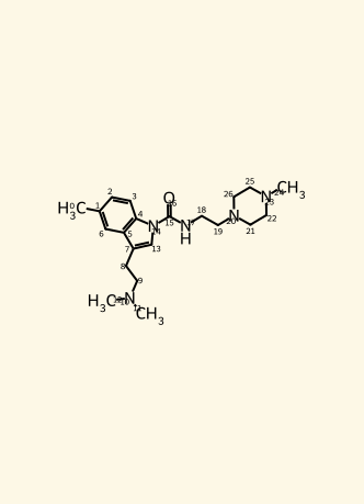 Cc1ccc2c(c1)c(CCN(C)C)cn2C(=O)NCCN1CCN(C)CC1